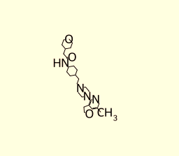 Cc1cnc(N2CCN(CCC3CCC(NC(=O)CC4CCOCC4)CC3)CC2)c2c1OCC2